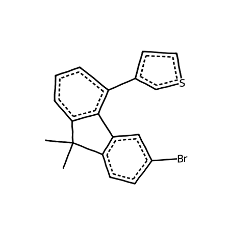 CC1(C)c2ccc(Br)cc2-c2c(-c3ccsc3)cccc21